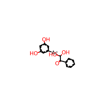 CC(=O)c1cc(O)cc(O)c1.O=C(c1ccccc1)C(O)O